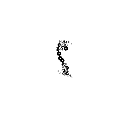 COC(=O)N[C@H](C(=O)N1CCC[C@H]1c1ncc(-c2ccc3cc(-c4ccc(-c5cnc([C@@H]6CCCN6C(=O)C(OC(=O)N(C)C)c6ccccc6)[nH]5)cc4)ccc3c2)[nH]1)C(C)C